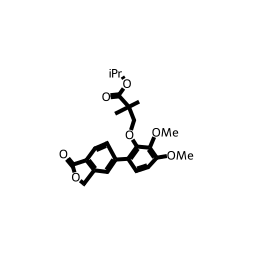 COc1ccc(-c2ccc3c(c2)COC3=O)c(OCC(C)(C)C(=O)OC(C)C)c1OC